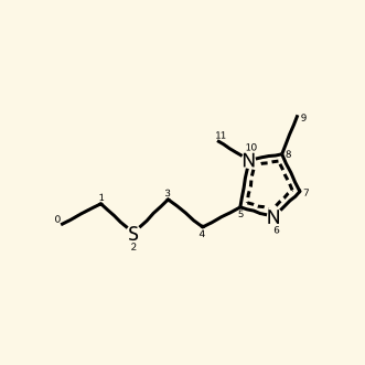 CCSCCc1ncc(C)n1C